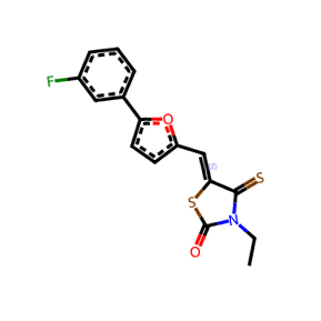 CCN1C(=O)S/C(=C\c2ccc(-c3cccc(F)c3)o2)C1=S